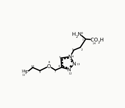 NC(CCn1cc(COCC[18F])nn1)C(=O)O